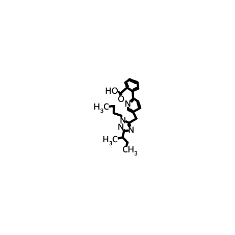 CCCCn1nc(C(C)CC)nc1Cc1ccc(-c2ccccc2C(=O)O)nc1